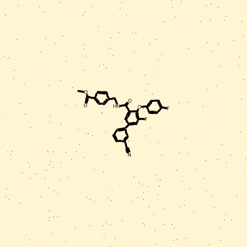 COC(=O)c1ccc(CNC(=O)c2cc(-c3cccc(C#N)c3)cc(F)c2Oc2ccc(F)cc2)cc1